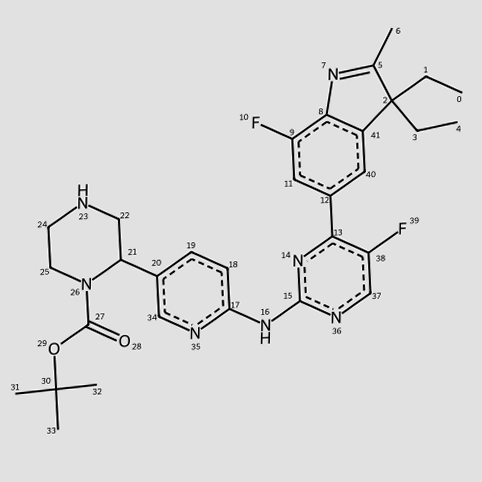 CCC1(CC)C(C)=Nc2c(F)cc(-c3nc(Nc4ccc(C5CNCCN5C(=O)OC(C)(C)C)cn4)ncc3F)cc21